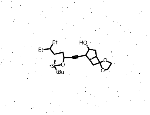 CCC(CC)CCC(C#CC1C(O)CC2C1CC21OCCO1)O[Si](C)(C)C(C)(C)C